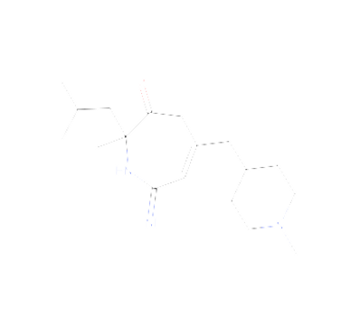 CC(C)CC1(C)NC(=N)C=C(CC2CCN(C)CC2)CC1=O